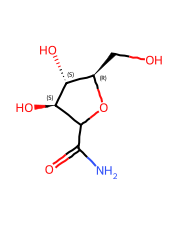 NC(=O)C1O[C@H](CO)[C@@H](O)[C@@H]1O